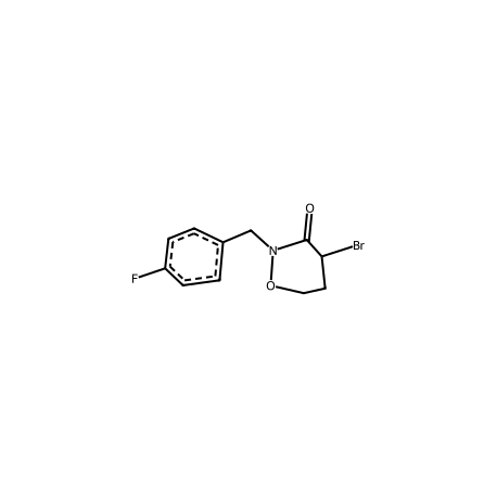 O=C1C(Br)CCON1Cc1ccc(F)cc1